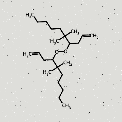 C=CCC(OOC(CC=C)C(C)(C)CCCCC)C(C)(C)CCCCC